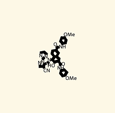 COc1ccc(NC(=O)c2ccc3c(/N=N/c4c(C#N)cnn4-c4ncccn4)c(O)c(C(=O)Nc4ccc(OC)cc4)cc3c2)cc1